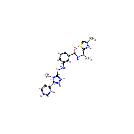 Cc1csc(C(C)NC(=O)c2cccc(NCc3nnc(-c4ccncn4)n3C)c2)n1